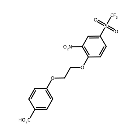 O=C(O)c1ccc(OCCOc2ccc(S(=O)(=O)C(F)(F)F)cc2[N+](=O)[O-])cc1